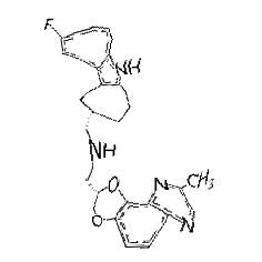 Cc1cnc2ccc3c(c2n1)O[C@@H](CNC[C@H]1CCc2[nH]c4ccc(F)cc4c2C1)CO3